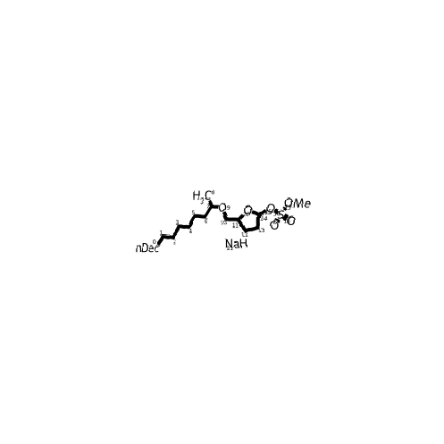 CCCCCCCCCCCCCCCCC(C)OCC1CCC(OS(=O)(=O)OC)O1.[NaH]